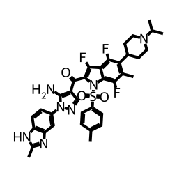 Cc1ccc(S(=O)(=O)n2c(C(=O)c3cnn(-c4ccc5[nH]c(C)nc5c4)c3N)c(F)c3c(F)c(C4CCN(C(C)C)CC4)c(C)c(F)c32)cc1